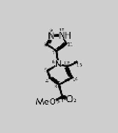 COC(=O)C1=CCN(c2cn[nH]c2)C(C)=C1